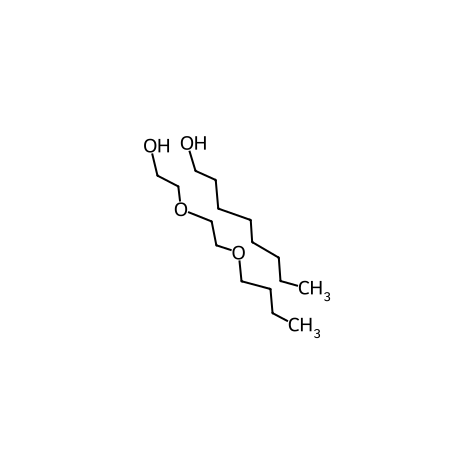 CCCCCCCCO.CCCCOCCOCCO